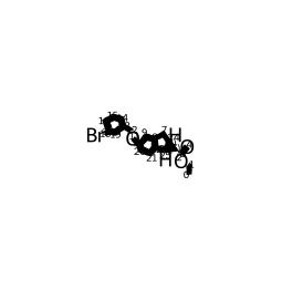 CCOC(=O)[C@H]1[C@@H]2Cc3cc(OCc4cccc(Br)c4)ccc3[C@@H]21